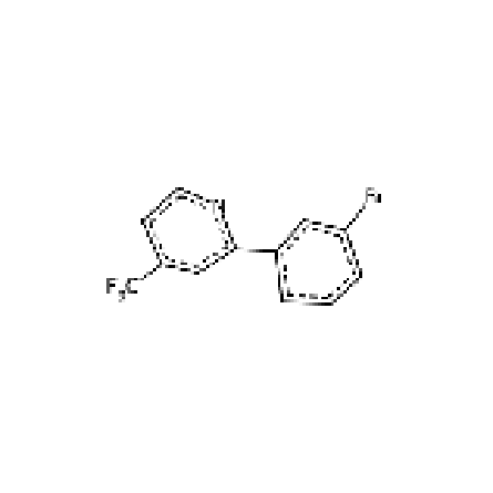 FC(F)(F)c1ccnc(-c2cccc(Br)c2)c1